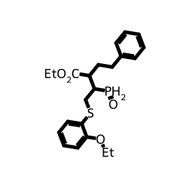 CCOC(=O)C(CCc1ccccc1)C(CSc1ccccc1OCC)[PH2]=O